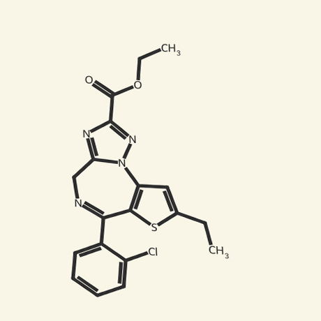 CCOC(=O)c1nc2n(n1)-c1cc(CC)sc1C(c1ccccc1Cl)=NC2